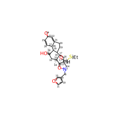 CCSCC(=O)[C@@]12ON(Cc3ccoc3)C[C@@H]1CC1C3CCC4=CC(=O)C=C[C@]4(C)C3[C@@H](O)C[C@@]12C